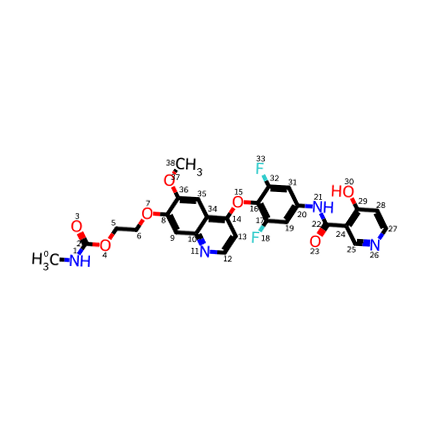 CNC(=O)OCCOc1cc2nccc(Oc3c(F)cc(NC(=O)c4cnccc4O)cc3F)c2cc1OC